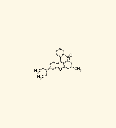 CC[N+](CC)=c1ccc2c(-c3ccccc3C(=O)Cl)c3ccc(C)cc3oc-2c1